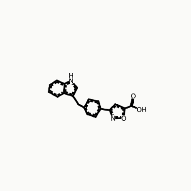 O=C(O)c1cc(-c2ccc(Cc3c[nH]c4ccccc34)cc2)no1